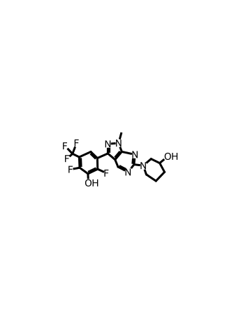 Cn1nc(-c2cc(C(F)(F)F)c(F)c(O)c2F)c2cnc(N3CCCC(O)C3)nc21